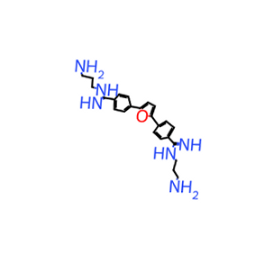 N=C(NCCCN)c1ccc(-c2ccc(-c3ccc(C(=N)NCCCN)cc3)o2)cc1